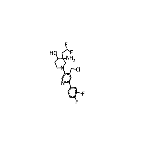 NC1(CC(F)F)CN(c2cnc(-c3ccc(F)c(F)c3)cc2CCl)CCC1O